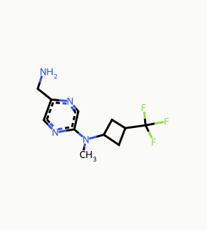 CN(c1cnc(CN)cn1)C1CC(C(F)(F)F)C1